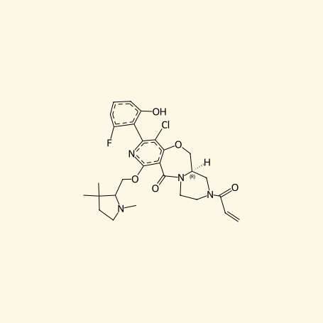 C=CC(=O)N1CCN2C(=O)c3c(OCC4N(C)CCC4(C)C)nc(-c4c(O)cccc4F)c(Cl)c3OC[C@H]2C1